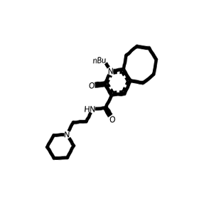 CCCCn1c2c(cc(C(=O)NCCN3CCCCC3)c1=O)CCCCCC2